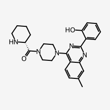 Cc1ccc2c(N3CCN(C(=O)[C@H]4CCCCN4)CC3)nc(-c3ccccc3O)nc2c1